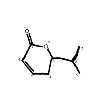 CC(C)C1CC=CC(=O)O1